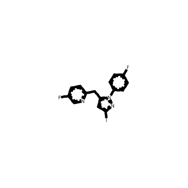 Fc1ccc(-n2nc(I)cc2Cc2ccc(F)cn2)cc1